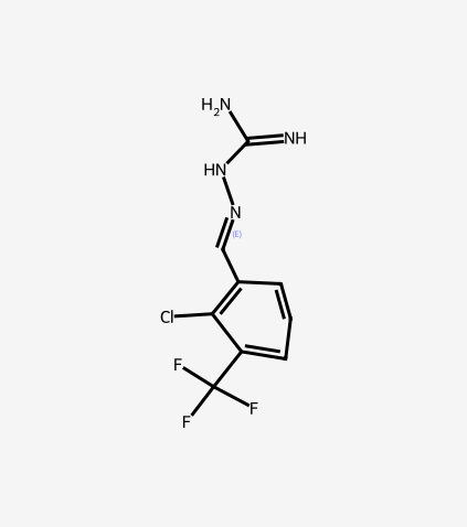 N=C(N)N/N=C/c1cccc(C(F)(F)F)c1Cl